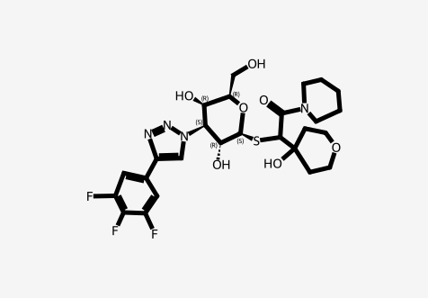 O=C(C(S[C@@H]1O[C@H](CO)[C@H](O)[C@H](n2cc(-c3cc(F)c(F)c(F)c3)nn2)[C@H]1O)C1(O)CCOCC1)N1CCCCC1